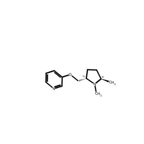 C[C@@H]1CC[C@@H](COc2cccnc2)N1C